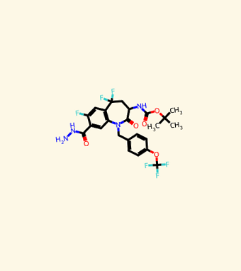 CC(C)(C)OC(=O)NC1CC(F)(F)c2cc(F)c(C(=O)NN)cc2N(Cc2ccc(OC(F)(F)F)cc2)C1=O